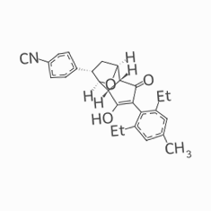 [C-]#[N+]c1ccc([C@@H]2C[C@@H]3O[C@H]2[C@H]2C(O)=C(c4c(CC)cc(C)cc4CC)C(=O)[C@H]23)cc1